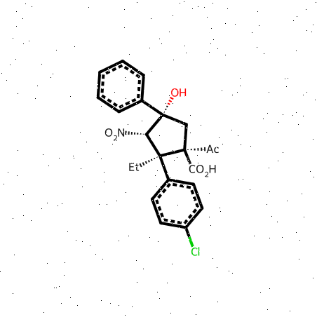 CC[C@]1(c2ccc(Cl)cc2)[C@H]([N+](=O)[O-])[C@@](O)(c2ccccc2)C[C@@]1(C(C)=O)C(=O)O